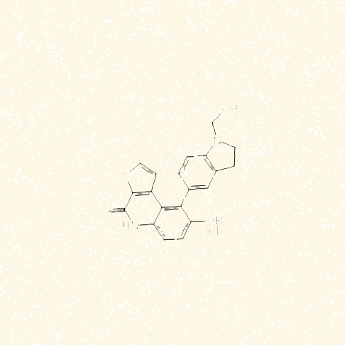 CCN1CCc2cc(-c3c(O)ccc4[nH]c(=O)c5sccc5c34)ccc21.Cl